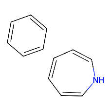 C1=CC=CNC=C1.c1ccccc1